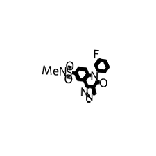 CNS(=O)(=O)c1ccc2c(c1)c1nn(C)cc1c(=O)n2-c1cccc(F)c1